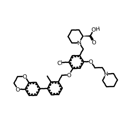 Cc1c(COc2cc(OCCN3CCCCC3)c(CN3CCCC[C@H]3C(=O)O)cc2Cl)cccc1-c1ccc2c(c1)OCCO2